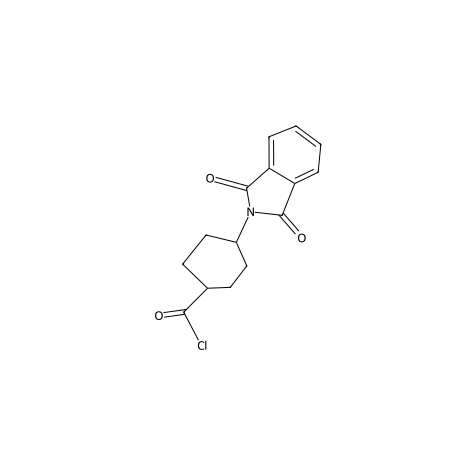 O=C(Cl)C1CCC(N2C(=O)c3ccccc3C2=O)CC1